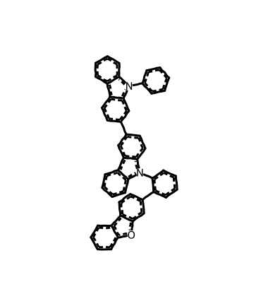 c1ccc(-n2c3ccccc3c3ccc(-c4ccc5c(c4)c4ccccc4n5-c4ccccc4-c4ccc5c(c4)oc4ccccc45)cc32)cc1